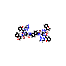 CN[C@@H](C)C(=O)N[C@H](C(=O)N1C[C@@H](NC(=O)c2ccc3cc(C(=O)N[C@H]4C[C@@H](C(=O)N[C@@H]5CCOc6ccccc65)N(C(=O)[C@@H](NC(=O)[C@H](C)NC)C5CCCCC5)C4)ccc3c2)C[C@H]1C(=O)N[C@@H]1CCOc2ccccc21)C1CCCCC1